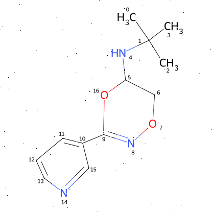 CC(C)(C)NC1CON=C(c2cccnc2)O1